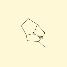 CC(C)N1C2CCC1CC(I)C2